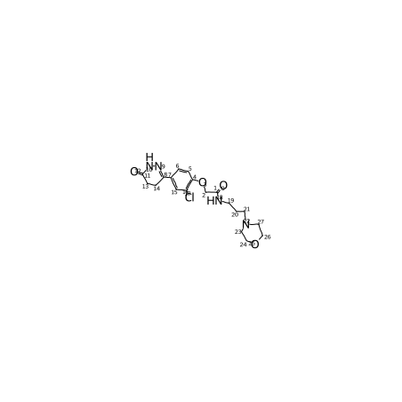 O=C(COc1ccc(C2=NNC(=O)CC2)cc1Cl)NCCCN1CCOCC1